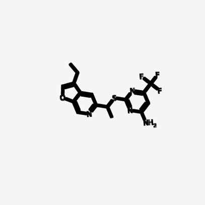 CCc1coc2cnc(C(C)Sc3nc(N)cc(C(F)(F)F)n3)cc12